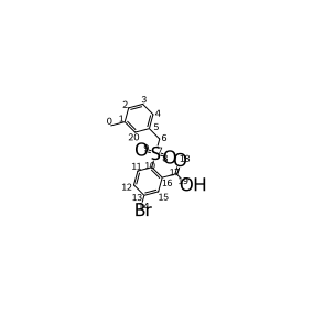 Cc1cccc(CS(=O)(=O)c2ccc(Br)cc2C(=O)O)c1